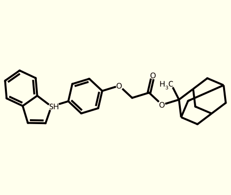 CC1(OC(=O)COc2ccc([SH]3C=Cc4ccccc43)cc2)C2CC3CC(C2)CC1C3